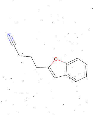 N#CCCCc1cc2ccccc2o1